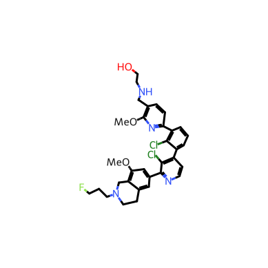 COc1cc(-c2nccc(-c3cccc(-c4ccc(CNCCO)c(OC)n4)c3Cl)c2Cl)cc2c1CN(CCCF)CC2